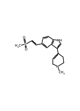 CN1CC=C(c2c[nH]c3ccc(C=CS(C)(=O)=O)cc23)CC1